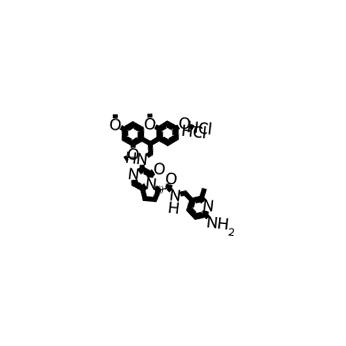 COc1ccc(C(CNc2ncc3n(c2=O)[C@H](C(=O)NCc2ccc(N)nc2C)CC3)c2ccc(OC)cc2OC)c(OC)c1.Cl.Cl